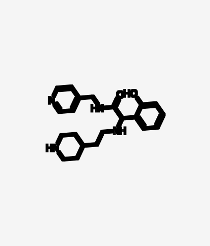 O=C(NCc1ccncc1)C(NCCC1CCNCC1)c1ccccc1O